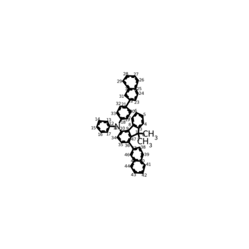 CC1(C)c2ccccc2-c2c(N(c3ccccc3)c3ccc(-c4ccc5ccccc5c4)cc3)ccc(-c3ccc4ccccc4c3)c21